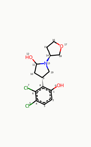 Oc1ccc(Cl)c(Cl)c1[C@@H]1CC(O)N([C@H]2CCOC2)C1